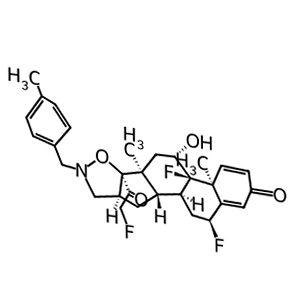 Cc1ccc(CN2C[C@@H]3C[C@H]4[C@@H]5C[C@H](F)C6=CC(=O)C=C[C@]6(C)[C@@]5(F)[C@@H](O)C[C@]4(C)[C@]3(C(=O)CF)O2)cc1